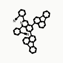 N#Cc1ccccc1-c1cc2c(-c3ccc4c5c(cccc35)-c3ccccc3-4)cc(-c3ccc4c5c(cccc35)-c3ccccc3-4)cc2c(-c2ccccc2C#N)n1